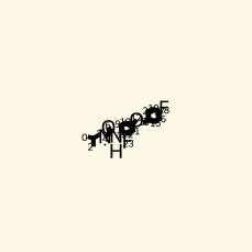 CC(C)C[N]C(=O)Nc1ccc(OCc2ccc(F)cc2)cc1F